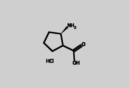 Cl.N[C@H]1CCCC1C(=O)O